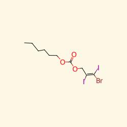 CCCCCCOC(=O)OCC(I)=C(Br)I